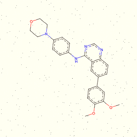 COc1ccc(-c2ccc3ncnc(Nc4ccc(N5CCOCC5)cc4)c3c2)cc1OC